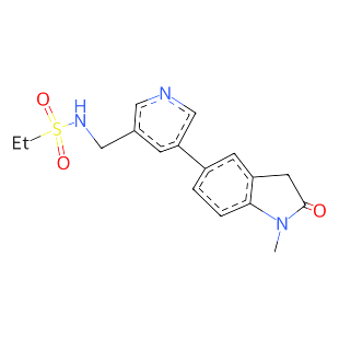 CCS(=O)(=O)NCc1cncc(-c2ccc3c(c2)CC(=O)N3C)c1